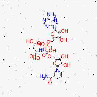 NC(=O)C1=CN([C@@H]2O[C@H](COP(=O)(O)OP(=O)(O)OC[C@H]3O[C@@H](n4cnc5c(N)ncnc54)[C@H](O)[C@@H]3O)[C@@H](O)[C@H]2O)C=CC1.NC(CC(=O)O)C(=O)O